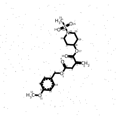 C=C(CC(=O)OCc1ccc(OC)cc1)C(=O)OC1CCN(S(C)(=O)=O)CC1